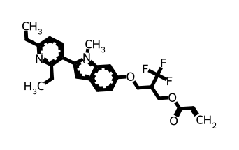 C=CC(=O)OCC(COc1ccc2cc(-c3ccc(CC)nc3CC)n(C)c2c1)C(F)(F)F